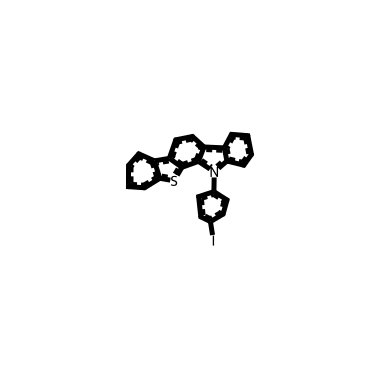 Ic1ccc(-n2c3ccccc3c3ccc4c5ccccc5sc4c32)cc1